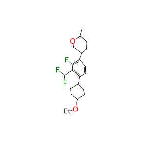 CCOC1CCC(c2ccc(C3CCC(C)OC3)c(F)c2C(F)F)CC1